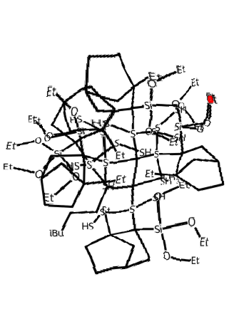 CCO[Si](OCC)(OCC)C1(S(S)(SS)C(CCC(C)CC)C(C)(C(S(S)(SS)C2([Si](OCC)(OCC)OCC)CC3CCC2(CC)C3)(S(S)(SS)C2([Si](OCC)(OCC)OCC)CC3CCC2(CC)C3)S(S)(SS)C2([Si](OCC)(OCC)OCC)CC3CCC2(CC)C3)S(S)(SS)C2([Si](OCC)(OCC)OCC)CC3CCC2(CC)C3)CC2CCC1(CC)C2